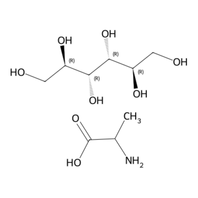 CC(N)C(=O)O.OC[C@@H](O)[C@@H](O)[C@H](O)[C@H](O)CO